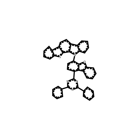 c1ccc(-c2nc(-c3ccccc3)nc(-c3ccc(-n4c5ccccc5c5ccc6c7ccccc7sc6c54)c4oc5ccccc5c34)n2)cc1